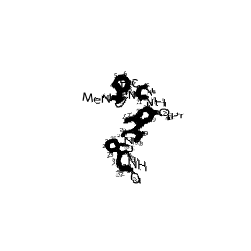 CNC(=O)c1ccccc1Nc1cc(Nc2cc(C)c(C3CCN(Cc4ccccc4C4CCC(=O)NC4=O)CC3)cc2OC(C)C)ncc1C(F)(F)F